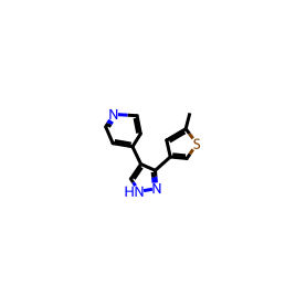 Cc1cc(-c2n[nH]cc2-c2ccncc2)cs1